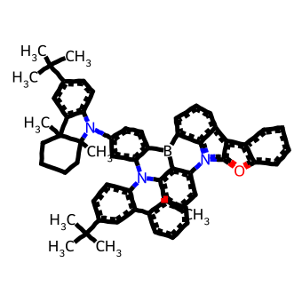 Cc1cc2c3c(c1)-n1c4oc5ccccc5c4c4cccc(c41)B3c1ccc(N3c4ccc(C(C)(C)C)cc4C4(C)CCCCC34C)cc1N2c1ccc(C(C)(C)C)cc1-c1ccccc1